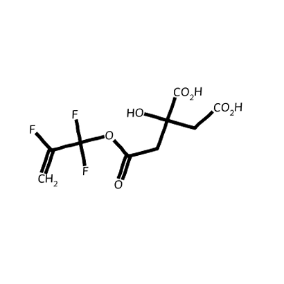 C=C(F)C(F)(F)OC(=O)CC(O)(CC(=O)O)C(=O)O